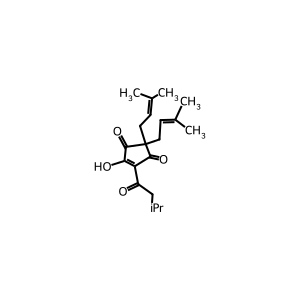 CC(C)=CCC1(CC=C(C)C)C(=O)C(O)=C(C(=O)CC(C)C)C1=O